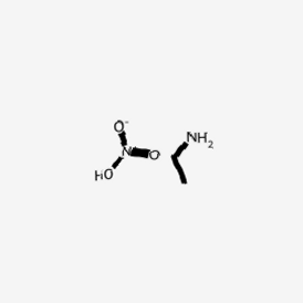 CCN.O=[N+]([O-])O